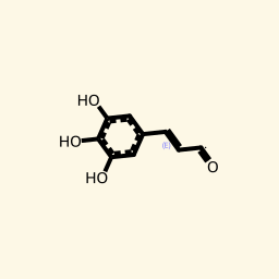 O=[C]/C=C/c1cc(O)c(O)c(O)c1